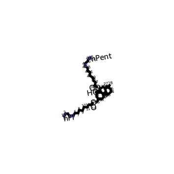 CCC/C=C\C/C=C\CCCCCCCC(=O)OCC1=CCC2C3(C)CCCC(C)(C)C3CCC2(COC(=O)CCCCCCC/C=C\C/C=C\CCCCC)C(O)C1